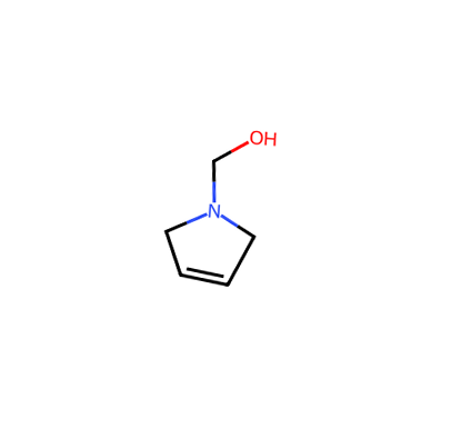 OCN1CC=CC1